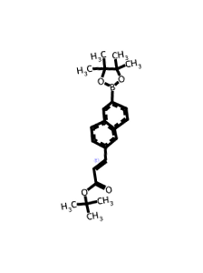 CC(C)(C)OC(=O)/C=C/c1ccc2cc(B3OC(C)(C)C(C)(C)O3)ccc2c1